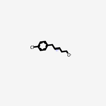 [O]CC/C=C/Cc1ccc(Cl)cc1